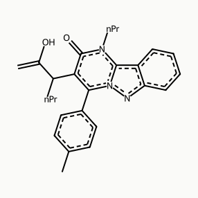 C=C(O)C(CCC)c1c(-c2ccc(C)cc2)n2nc3ccccc3c2n(CCC)c1=O